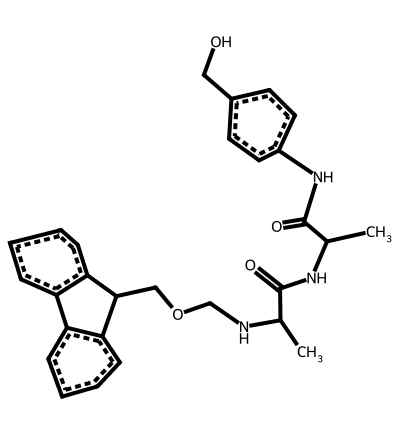 CC(NCOCC1c2ccccc2-c2ccccc21)C(=O)NC(C)C(=O)Nc1ccc(CO)cc1